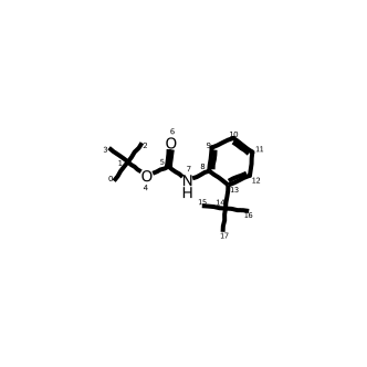 CC(C)(C)OC(=O)Nc1ccccc1C(C)(C)C